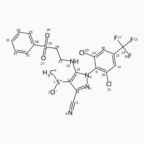 C[S+]([O-])c1c(C#N)nn(-c2c(Cl)cc(C(F)(F)F)cc2Cl)c1NCCS(=O)(=O)c1ccccc1